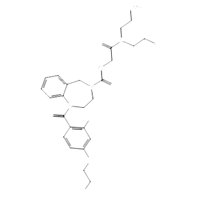 COCCN(CCF)C(=O)CNC(=O)N1Cc2ccccc2N(C(=O)c2ccc(OCCO)cc2Cl)C[C@H]1C